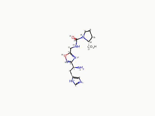 N[C@@H](Cc1cnc[nH]1)c1noc(CNC(=O)N2CCC[C@@H]2C(=O)O)n1